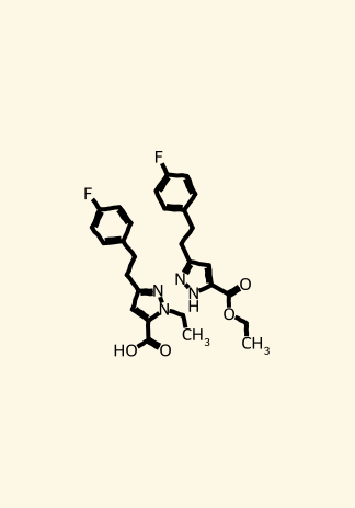 CCOC(=O)c1cc(CCc2ccc(F)cc2)n[nH]1.CCn1nc(CCc2ccc(F)cc2)cc1C(=O)O